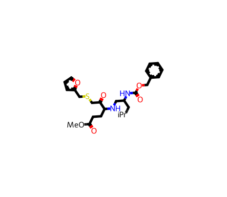 COC(=O)CCC(NCC(CC(C)C)NC(=O)OCc1ccccc1)C(=O)CSCc1ccco1